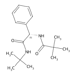 CC(C)(C)NC(=O)[C@@H](NC(=O)C(C)(C)C)c1ccccc1